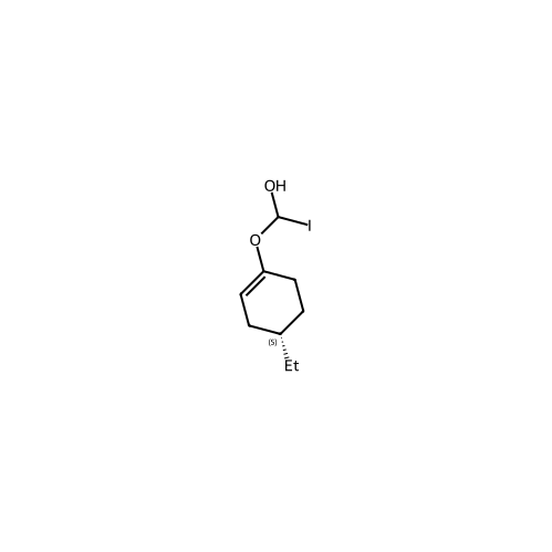 CC[C@@H]1CC=C(OC(O)I)CC1